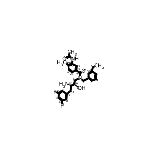 CCc1cccc(CN(C[C@@H](O)[C@@H](N)Cc2cc(F)cc(F)c2)C(=O)c2ccc(C)c(NC(C)=O)c2)c1